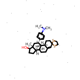 CN(C)c1ccc([C@H]2C[C@]3(C)C(O)CC[C@H]3[C@@H]3CCC4=CC5(CC[C@@H]4[C@H]32)SCCS5)cc1